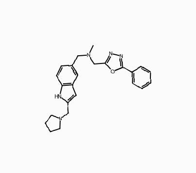 CN(Cc1ccc2[nH]c(CN3CCCC3)cc2c1)Cc1nnc(-c2ccccc2)o1